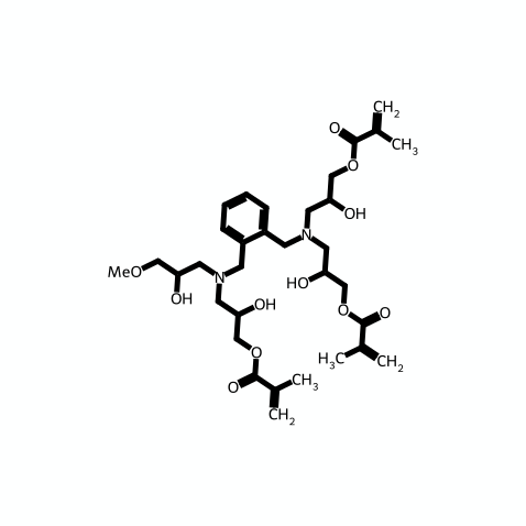 C=C(C)C(=O)OCC(O)CN(Cc1ccccc1CN(CC(O)COC(=O)C(=C)C)CC(O)COC(=O)C(=C)C)CC(O)COC